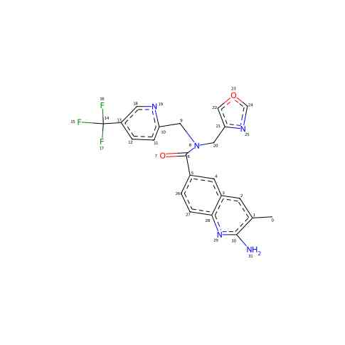 Cc1cc2cc(C(=O)N(Cc3ccc(C(F)(F)F)cn3)Cc3cocn3)ccc2nc1N